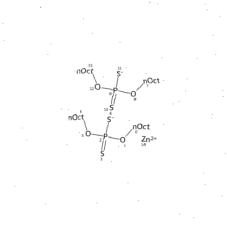 CCCCCCCCOP(=S)([S-])OCCCCCCCC.CCCCCCCCOP(=S)([S-])OCCCCCCCC.[Zn+2]